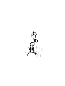 Cn1c(CN2CCC(c3cccc(OCc4ccc(Cl)cc4F)n3)CC2)nc2c(OCC(F)F)cc(C(=O)O)cc21